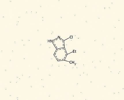 CCc1c(C)ccc2[nH]nc(Cl)c12